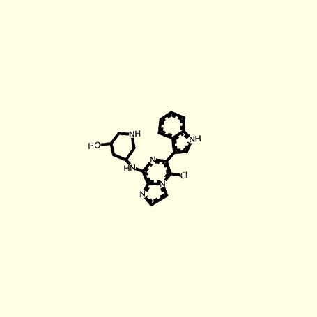 OC1CNCC(Nc2nc(-c3c[nH]c4ccccc34)c(Cl)n3ccnc23)C1